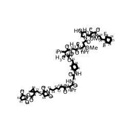 CCC[C@@H]([C@@H](CC(=O)N1C[C@@H](O)C[C@H]1[C@H](OC)[C@@H](C)C(=O)NCCc1c(F)cccc1F)OC)N(C)C(=O)CNC(=O)C(C(C)C)N(C)C(=O)OCc1ccc(NC(=O)CNC(=O)C(NC(=O)CCCCCN2C(=O)CC(SCC3(CC(=O)ON4C(=O)CCC4=O)CC3)C2=O)C(C)C)cc1